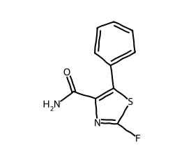 NC(=O)c1nc(F)sc1-c1ccccc1